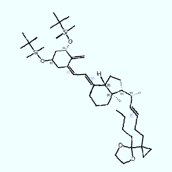 C=C1/C(=C\C=C2/CCC[C@]3(C)[C@@H]([C@H](C)/C=C/CCC4(C5(CCCC)OCCO5)CC4)CC[C@@H]23)C[C@@H](O[Si](C)(C)C(C)(C)C)C[C@@H]1O[Si](C)(C)C(C)(C)C